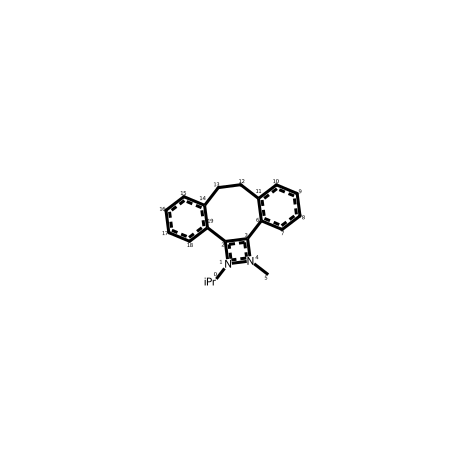 CC(C)n1c2c(n1C)-c1ccccc1CCc1ccccc1-2